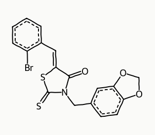 O=C1C(=Cc2ccccc2Br)SC(=S)N1Cc1ccc2c(c1)OCO2